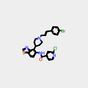 O=C(Nc1ccc2scnc2c1C1CCN(C/C=C/c2ccc(Br)cc2)CC1)c1ccnc(Cl)c1